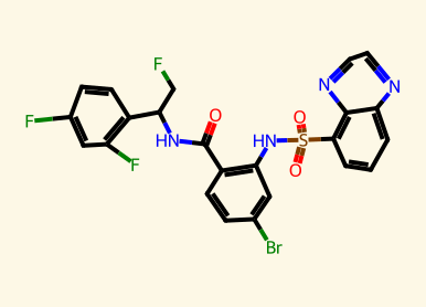 O=C(NC(CF)c1ccc(F)cc1F)c1ccc(Br)cc1NS(=O)(=O)c1cccc2nccnc12